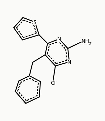 Nc1nc(Cl)c(Cc2ccccc2)c(-c2cccs2)n1